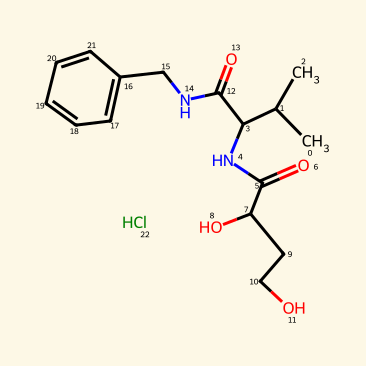 CC(C)C(NC(=O)C(O)CCO)C(=O)NCc1ccccc1.Cl